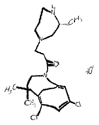 C[C@@H]1CN(CC(=O)N2CC(C)(C)c3c(Cl)cc(Cl)cc32)CCN1.Cl